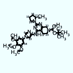 COc1cc(-n2cnc(Nc3nc(N4CCC[C@H]4C)nc4c3CCN(C(=O)OC(C)(C)C)C4)c2)cc(OC)c1OC